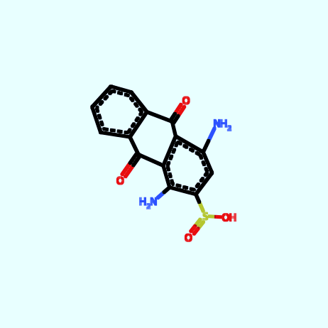 Nc1cc(S(=O)O)c(N)c2c1C(=O)c1ccccc1C2=O